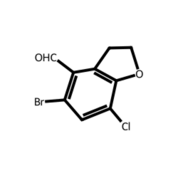 O=Cc1c(Br)cc(Cl)c2c1CCO2